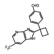 O=Cc1ccc(C2(c3nc4ncc(C(F)(F)F)cc4[nH]3)CCC2)cc1